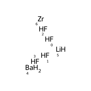 F.F.F.F.[BaH2].[LiH].[Zr]